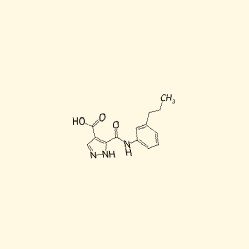 CCCc1cccc(NC(=O)c2[nH]ncc2C(=O)O)c1